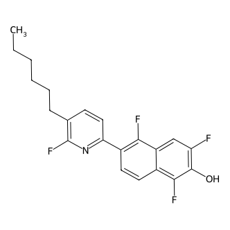 CCCCCCc1ccc(-c2ccc3c(F)c(O)c(F)cc3c2F)nc1F